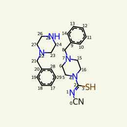 N#C/N=C(\S)N1CCN(Cc2ccccc2)CC1.c1ccc(CN2CCNCC2)cc1